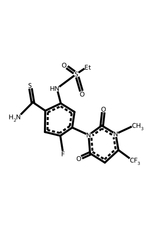 CCS(=O)(=O)Nc1cc(-n2c(=O)cc(C(F)(F)F)n(C)c2=O)c(F)cc1C(N)=S